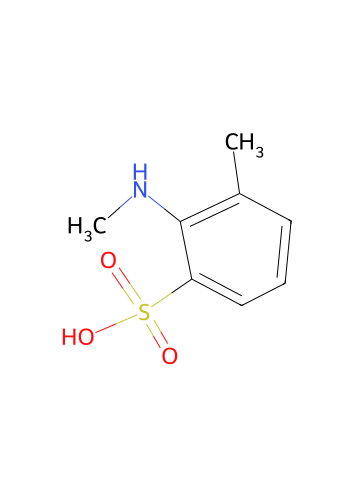 CNc1c(C)cccc1S(=O)(=O)O